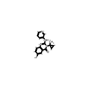 CC1(n2c(Nc3cccnc3)nc3ccc(F)cc3c2=O)CC1